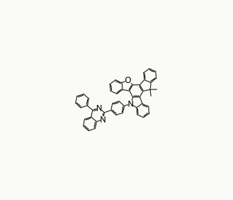 CC1(C)c2ccccc2-c2c1c1c3ccccc3n(-c3ccc(-c4nc(-c5ccccc5)c5ccccc5n4)cc3)c1c1c2oc2ccccc21